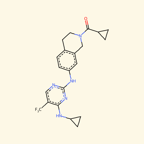 O=C(C1CC1)N1CCc2ccc(Nc3ncc(C(F)(F)F)c(NC4CC4)n3)cc2C1